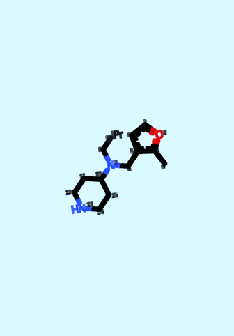 Cc1occc1CN(CC(C)C)C1CCNCC1